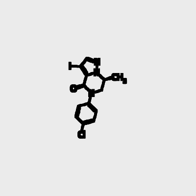 C[C@H]1CN(c2ccc(Cl)cc2)C(=O)c2c(I)cnn21